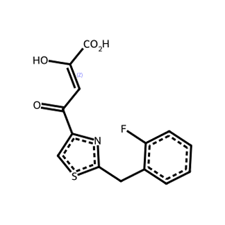 O=C(O)/C(O)=C/C(=O)c1csc(Cc2ccccc2F)n1